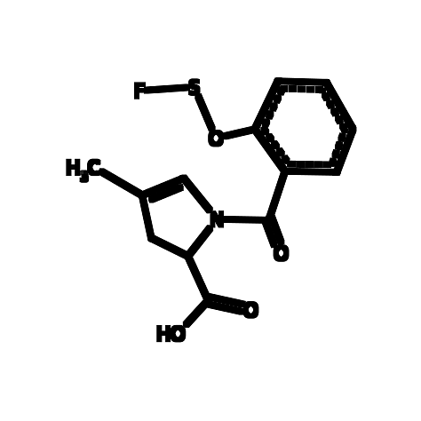 CC1=CN(C(=O)c2ccccc2OSF)C(C(=O)O)C1